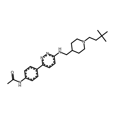 CC(=O)Nc1ccc(-c2ccc(NCC3CCN(CCC(C)(C)C)CC3)nn2)cc1